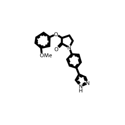 COc1cccc(OC2CCN(c3ccc(-c4cn[nH]c4)cc3)C2=O)c1